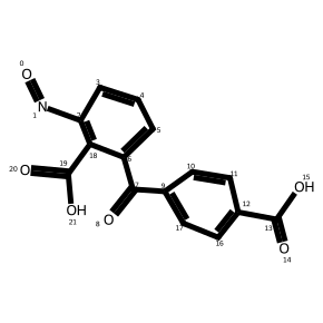 O=Nc1cccc(C(=O)c2ccc(C(=O)O)cc2)c1C(=O)O